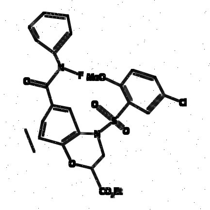 CC.CCOC(=O)C1CN(S(=O)(=O)c2cc(Cl)ccc2OC)c2cc(C(=O)N(F)c3ccccc3)ccc2O1